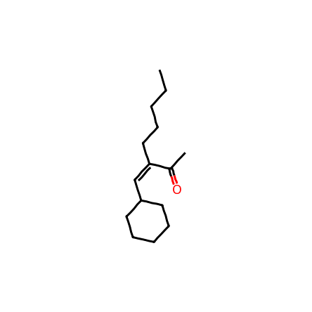 CCCCCC(=CC1CCCCC1)C(C)=O